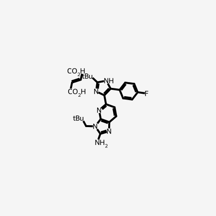 CC(C)(C)Cn1c(N)nc2ccc(-c3nc(C(C)(C)C)[nH]c3-c3ccc(F)cc3)nc21.O=C(O)C=CC(=O)O